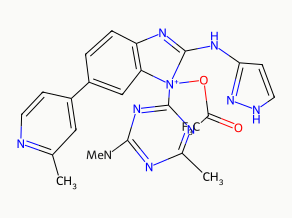 CNc1nc(C)nc([N+]2(OC(=O)C(F)(F)F)C(Nc3cc[nH]n3)=Nc3ccc(-c4ccnc(C)c4)cc32)n1